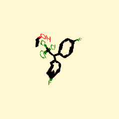 CCO.Fc1ccc(C(c2ccc(F)cc2)C(Cl)(Cl)Cl)cc1